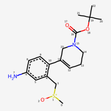 C[S+]([O-])Cc1cc(N)ccc1C1=CCCN(C(=O)OC(C)(C)C)C1